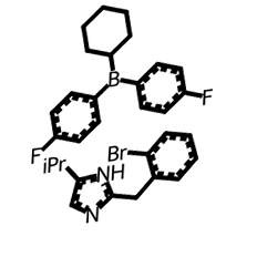 CC(C)c1cnc(Cc2ccccc2Br)[nH]1.Fc1ccc(B(c2ccc(F)cc2)C2CCCCC2)cc1